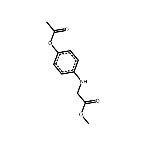 COC(=O)CNc1ccc(OC(C)=O)cc1